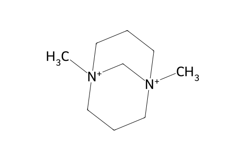 C[N+]12CCC[N+](C)(CCC1)C2